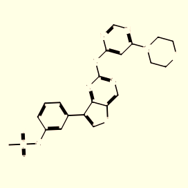 CS(=O)(=O)Nc1cccc(-c2csc3cnc(Nc4cc(N5CCOCC5)ncn4)nc23)c1